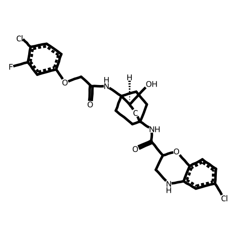 O=C(COc1ccc(Cl)c(F)c1)NC12CCC(NC(=O)C3CNc4cc(Cl)ccc4O3)(CC1)C[C@@H]2O